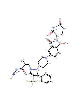 CC(CN1C=C(C(F)(F)F)C(c2ccccc2)N1C1CCN(c2ccc3c(c2)C(=O)N(C2CCC(=O)NC2=O)C3=O)CC1)C(=O)NC#N